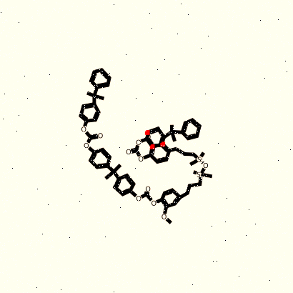 COc1cc(CCC[Si](C)(C)O[Si](C)(C)CCCc2ccc(OC(=O)Oc3ccc(C(C)(C)c4ccc(OC(=O)Oc5ccc(C(C)(C)c6ccccc6)cc5)cc4)cc3)c(OC)c2)ccc1OC(=O)Oc1ccc(C(C)(C)c2ccccc2)cc1